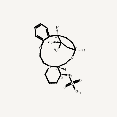 BC1(B)C[C@H]2CC[C@@H]1c1ccccc1OCCN1CCC[C@H](NS(C)(=O)=O)[C@@H]1CO2